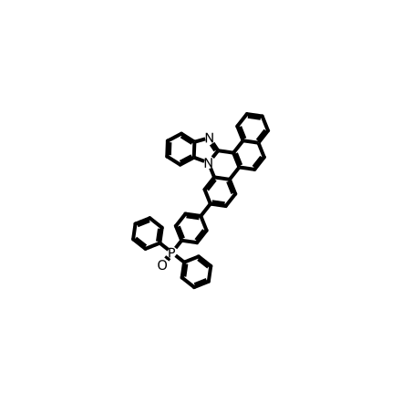 O=P(c1ccccc1)(c1ccccc1)c1ccc(-c2ccc3c4ccc5ccccc5c4c4nc5ccccc5n4c3c2)cc1